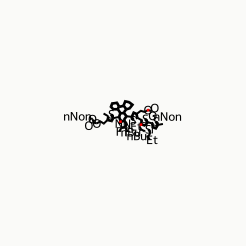 CCCCCCCCCOC(=O)OCCc1cc(-c2c3nc(F)c(F)nc3c(-c3cc(CCOC(=O)OCCCCCCCCC)c(-c4cc5c(s4)-c4sc(C)cc4[Si]5(CC(CC)CCCC)CC(CC)CCCC)s3)c3c4ccccc4c4ccccc4c23)sc1C